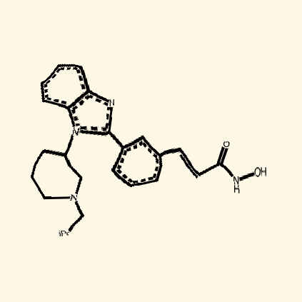 CC(C)CN1CCCC(n2c(-c3cccc(/C=C/C(=O)NO)c3)nc3ccccc32)C1